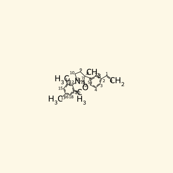 C=Cc1cccc([C@]2(C)CCN(c3c(C)cc(C)cc3C)C2=O)c1